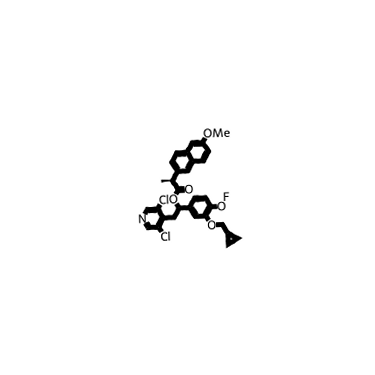 COc1ccc2cc([C@H](C)C(=O)OC(Cc3c(Cl)cncc3Cl)c3ccc(OF)c(OCC4CC4)c3)ccc2c1